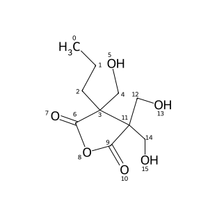 CCCC1(CO)C(=O)OC(=O)C1(CO)CO